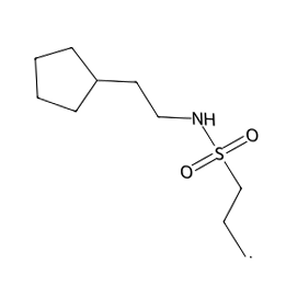 [CH2]CCS(=O)(=O)NCCC1CCCC1